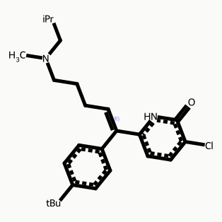 CC(C)CN(C)CCC/C=C(\c1ccc(C(C)(C)C)cc1)c1ccc(Cl)c(=O)[nH]1